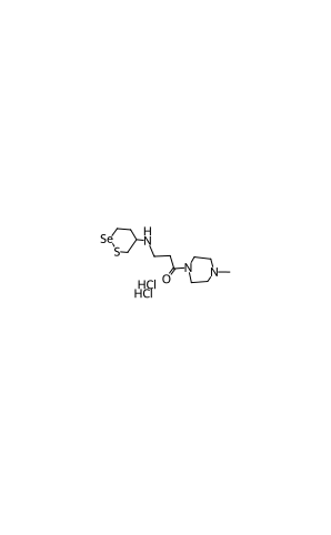 CN1CCN(C(=O)CCNC2CC[Se]SC2)CC1.Cl.Cl